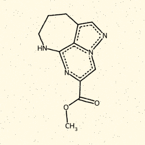 COC(=O)c1cn2ncc3c2c(n1)NCCC3